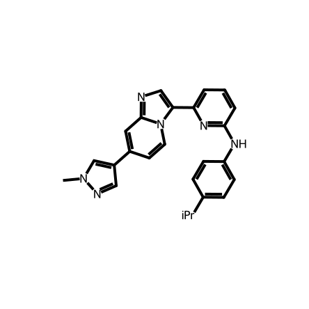 CC(C)c1ccc(Nc2cccc(-c3cnc4cc(-c5cnn(C)c5)ccn34)n2)cc1